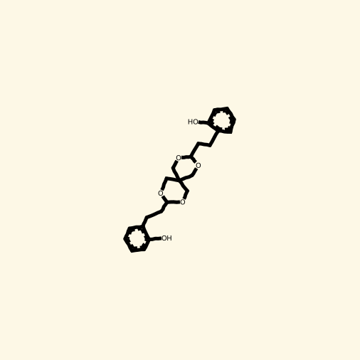 Oc1ccccc1CCC1OCC2(CO1)COC(CCc1ccccc1O)OC2